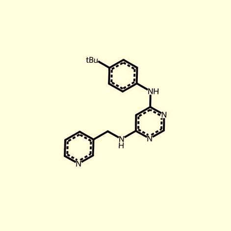 CC(C)(C)c1ccc(Nc2cc(NCc3cccnc3)ncn2)cc1